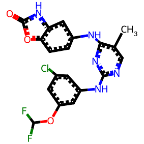 Cc1cnc(Nc2cc(Cl)cc(OC(F)F)c2)nc1Nc1ccc2oc(=O)[nH]c2c1